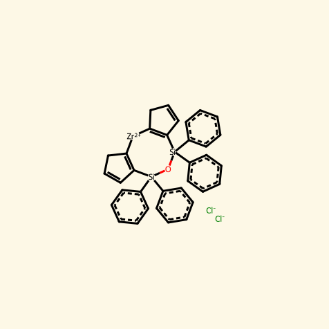 C1=CC2=[C](C1)[Zr+2][C]1=C(C=CC1)[Si](c1ccccc1)(c1ccccc1)O[Si]2(c1ccccc1)c1ccccc1.[Cl-].[Cl-]